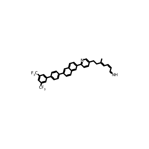 C/C(=C\C=C/C=N)CCc1ccc(-c2ccc3cc(-c4ccc(-c5cc(C(F)(F)F)cc(C(F)(F)F)c5)cc4)ccc3c2)nc1